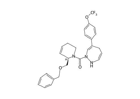 O=C(N1C=C(c2ccc(OC(F)(F)F)cc2)CC=CN1)N1CCC=C[C@@H]1COCc1ccccc1